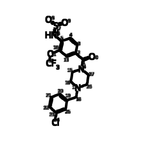 O=C(c1ccc(N[SH](=O)=O)c(OC(F)(F)F)c1)N1CCN(Cc2cccc(Cl)c2)CC1